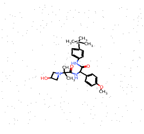 COc1ccc(C(NC(=O)C(C)(C)N2CC(O)C2)C(=O)Nc2ccc([Si](C)(C)C)cc2)cc1